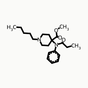 CCCCCN1CCC(C(=O)OC)(N(C(=O)CC)c2ccccc2)CC1